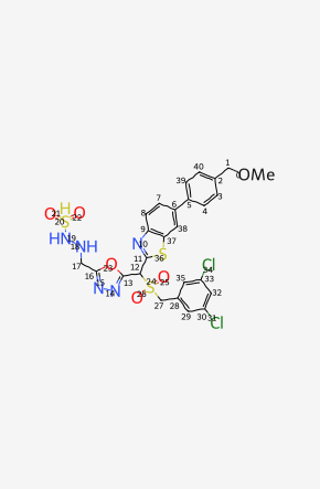 COCc1ccc(-c2ccc3nc(C(c4nnc(CNN[SH](=O)=O)o4)S(=O)(=O)Cc4cc(Cl)cc(Cl)c4)sc3c2)cc1